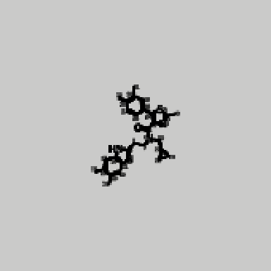 Cc1nc(C(=O)N(CCc2nc3cc(C)c(C)cc3[nH]2)CC2CC2)c(-c2ccc(C)c(C)c2)s1